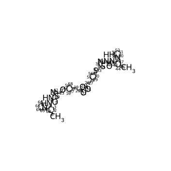 Cc1ccc(NC(=O)Nc2ncc(COc3ccc(CCC(=O)OC(=O)CCc4ccc(SCc5cnc(NC(=O)Nc6ccc(C)cc6N6CCCCC6)s5)cc4)cc3)s2)c(N2CCCCC2)c1